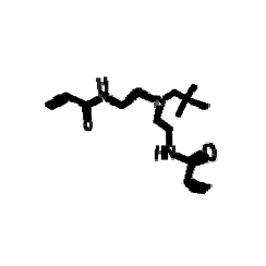 C=CC(=O)NCCN(CCNC(=O)C=C)CC(C)(C)C